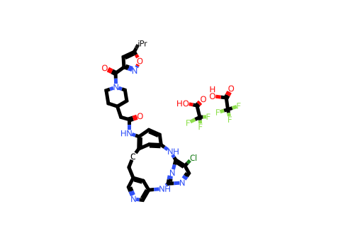 CC(C)c1cc(C(=O)N2CCC(CC(=O)Nc3ccc4cc3CCc3cncc(c3)Nc3ncc(Cl)c(n3)N4)CC2)no1.O=C(O)C(F)(F)F.O=C(O)C(F)(F)F